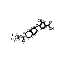 CC(C)(C)OC(=O)N1CCc2ccc(Oc3ccc(C(=O)O)cc3Cl)cc2CC1